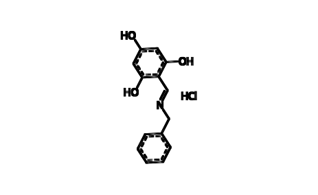 Cl.Oc1cc(O)c(C=NCc2ccccc2)c(O)c1